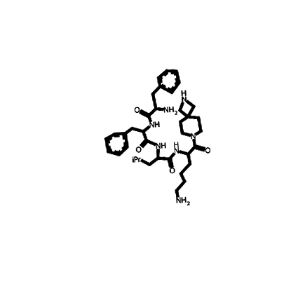 CC(C)CC(NC(=O)C(Cc1ccccc1)NC(=O)C(N)Cc1ccccc1)C(=O)NC(CCCCN)C(=O)N1CCC2(CC1)CNC2